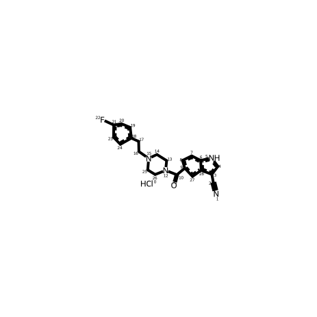 Cl.N#Cc1c[nH]c2ccc(C(=O)N3CCN(CCc4ccc(F)cc4)CC3)cc12